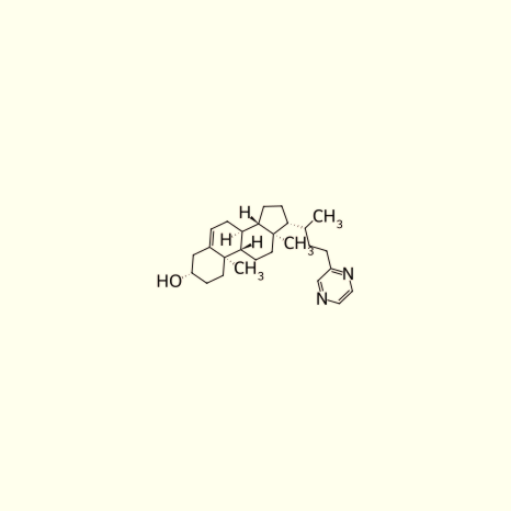 CC(CCc1cnccn1)[C@H]1CC[C@H]2[C@@H]3CC=C4C[C@@H](O)CC[C@]4(C)[C@H]3CC[C@]12C